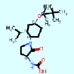 CC(C)[C@@H]1C[C@H](O[Si](C)(C)C(C)(C)C)CC[C@@H]1N1CC[C@H](NC(=O)O)C1=O